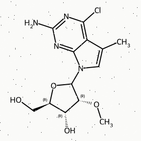 CO[C@H]1C(n2cc(C)c3c(Cl)nc(N)nc32)O[C@H](CO)[C@H]1O